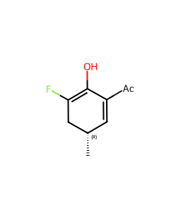 CC(=O)C1=C[C@H](C)CC(F)=C1O